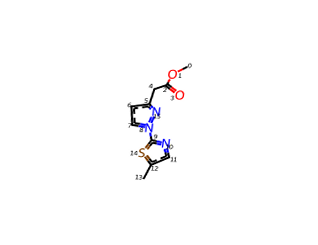 COC(=O)Cc1ccn(-c2ncc(C)s2)n1